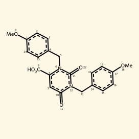 COc1ccc(Cn2c(C(=O)O)cc(=O)n(Cc3ccc(OC)cc3)c2=O)cc1